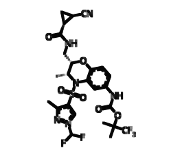 Cc1nn(C(F)F)cc1S(=O)(=O)N1c2cc(NC(=O)OC(C)(C)C(F)(F)F)ccc2O[C@@H](CNC(=O)[C@H]2CC2C#N)[C@H]1C